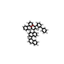 c1ccc(-c2ccccc2N(c2ccc3c(c2)oc2c(-c4ccccc4)cccc23)c2cc3sc4ccc5ccccc5c4c3c3ccccc23)cc1